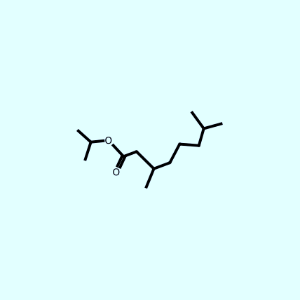 CC(C)CCCC(C)CC(=O)OC(C)C